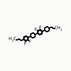 CCCCc1ccc(C2CCC(c3ccc(C4CCC(CCC)CC4)c(F)c3F)CC2)c(F)c1F